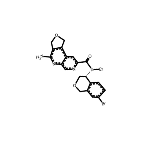 CCN(C(=O)c1cc2c3c(c(N)nc2cn1)COC3)[C@H]1COCc2cc(Br)ccc21